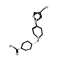 CC(C)c1cnn(C2CCN(C[C@H]3CC[C@@H](C(=O)C(C)C)CC3)CC2)c1